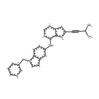 CC(N)C#Cc1cc2ncnc(Nc3ccc4c(ccn4Cc4cccnc4)c3)c2s1